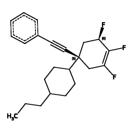 CCCC1CCC([C@@]2(C#Cc3ccccc3)CC(F)=C(F)[C@H](F)C2)CC1